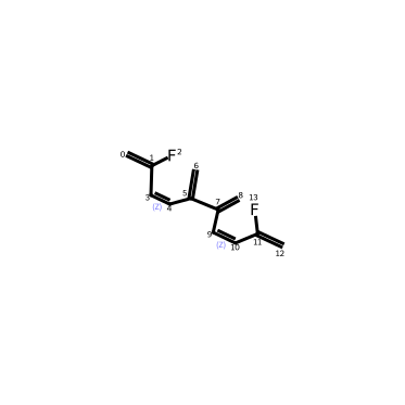 C=C(F)/C=C\C(=C)C(=C)/C=C\C(=C)F